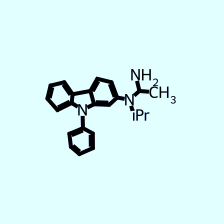 CC(C)N(c1ccc2c3ccccc3n(-c3ccccc3)c2c1)C(C)N